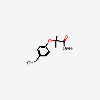 COC(=O)C(C)(C)Oc1ccc(C=O)cc1